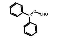 O=CO[I+](c1ccccc1)c1ccccc1